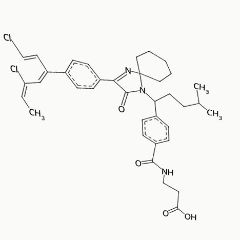 C\C=C(Cl)/C=C(\C=C\Cl)c1ccc(C2=NC3(CCCCC3)N(C(CCC(C)C)c3ccc(C(=O)NCCC(=O)O)cc3)C2=O)cc1